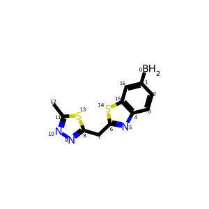 Bc1ccc2nc(Cc3nnc(C)s3)sc2c1